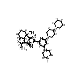 CC1(c2nc(-c3cc(N4CCNCC4)cc(N4CCC(N5CCCCC5)CC4)n3)no2)CCCc2sc(N)c(C#N)c21